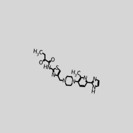 CCC(=O)C(=O)Nc1nc(CN2CCN(c3ccc(-c4ncc[nH]4)nc3C)CC2)cs1